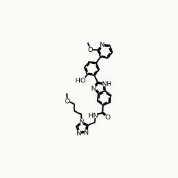 COCCCn1cnnc1CNC(=O)c1ccc2[nH]c(-c3cc(-c4cccnc4OC)ccc3O)nc2c1